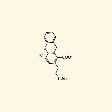 CCCCCCCCCCCCc1ccc2c(c1C(=O)[O-])Cc1ccccc1S2.[K+]